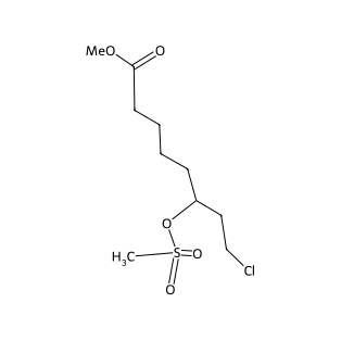 COC(=O)CCCCC(CCCl)OS(C)(=O)=O